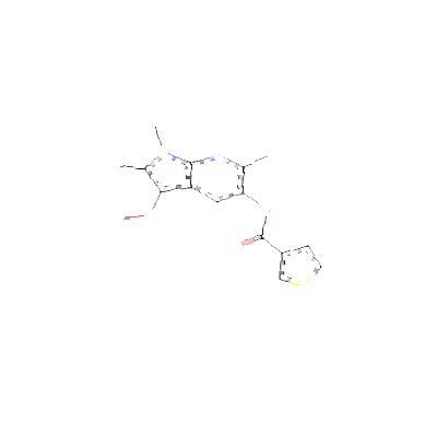 CCOC(=O)c1c(OC(C)C)c2cc(NC(=O)c3ccsc3)c(CC)nc2n1C